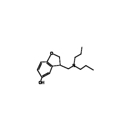 CCCN(CCC)CC1COc2ccc(O)cc21